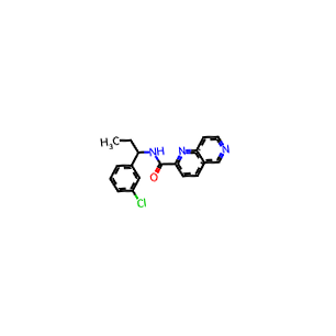 CCC(NC(=O)c1ccc2cnccc2n1)c1cccc(Cl)c1